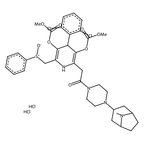 COC(=O)OC1=C(CC(=O)N2CCN(C3CC4CCC(C3)N4C)CC2)NC(C[S+]([O-])c2ccccc2)=C(OC(=O)OC)C1c1c(Cl)cccc1Cl.Cl.Cl